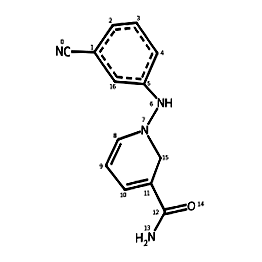 N#Cc1cccc(NN2C=CC=C(C(N)=O)C2)c1